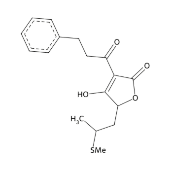 CSC(C)CC1OC(=O)C(C(=O)CCc2ccccc2)=C1O